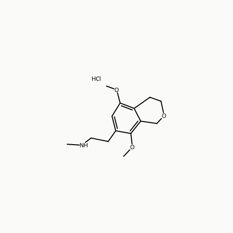 CNCCc1cc(OC)c2c(c1OC)COCC2.Cl